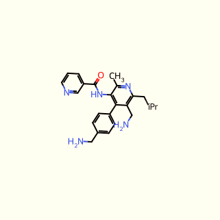 Cc1nc(CC(C)C)c(CN)c(-c2ccc(CN)cc2)c1NC(=O)c1cccnc1